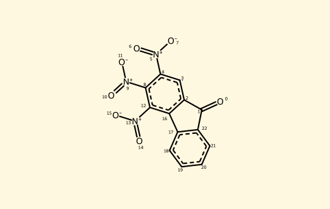 O=C1c2[c]c([N+](=O)[O-])c([N+](=O)[O-])c([N+](=O)[O-])c2-c2ccccc21